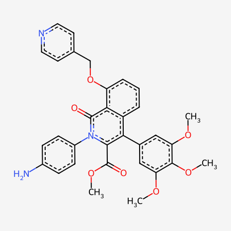 COC(=O)c1c(-c2cc(OC)c(OC)c(OC)c2)c2cccc(OCc3ccncc3)c2c(=O)n1-c1ccc(N)cc1